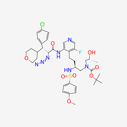 COc1ccc(S(=O)(=O)N[C@@H](CCc2c(F)cncc2NC(=O)C(N=[N+]=[N-])[C@@H](c2ccc(Cl)cc2)C2CCOCC2)CN(C[C@@H](C)O)C(=O)OC(C)(C)C)cc1